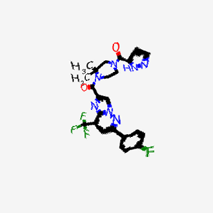 CC1(C)CN(C(=O)c2ccn[nH]2)CCN1C(=O)c1cn2nc(-c3ccc(F)cc3)cc(C(F)(F)F)c2n1